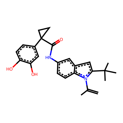 C=C(C)n1c(C(C)(C)C)cc2cc(NC(=O)C3(c4ccc(O)c(O)c4)CC3)ccc21